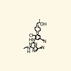 CCNc1nc(Nc2cc(C#N)cc(N3CCN(C[C@@H](C)O)CC3)c2Cl)nn2c(C#N)cnc12